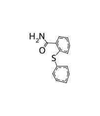 NC(=O)c1ccccc1Sc1ccccc1